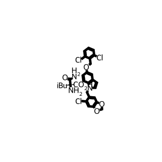 CC[C@H](C)[C@](N)(C(N)=O)C(=O)O.Clc1cc2c(cc1Cn1ccc3cc(OCc4c(Cl)cccc4Cl)ccc31)OCO2